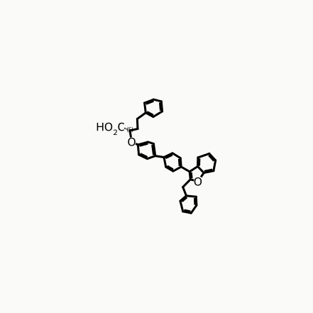 O=C(O)[C@H](CCc1ccccc1)Oc1ccc(-c2ccc(-c3c(Cc4ccccc4)oc4ccccc34)cc2)cc1